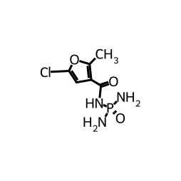 Cc1oc(Cl)cc1C(=O)NP(N)(N)=O